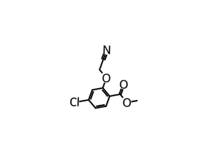 COC(=O)c1ccc(Cl)cc1OCC#N